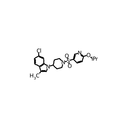 Cc1cn(C2CCN(S(=O)(=O)c3ccc(OC(C)C)nc3)CC2)c2cc(Cl)ccc12